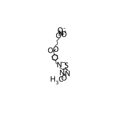 COc1ncc2c(n1)CN(Cc1ccc(C(=O)OCCCCO[N+](=O)[O-])cc1)CCS2